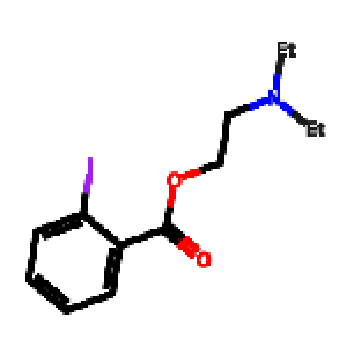 CCN(CC)CCOC(=O)c1ccccc1I